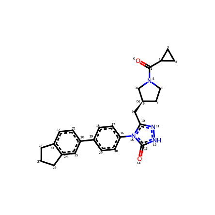 O=C(C1CC1)N1CC[C@@H](Cc2n[nH]c(=O)n2-c2ccc(-c3ccc4c(c3)CCC4)cc2)C1